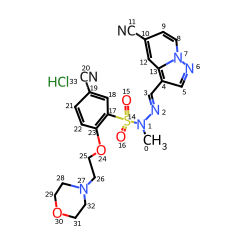 CN(N=Cc1cnn2ccc(C#N)cc12)S(=O)(=O)c1cc(C#N)ccc1OCCN1CCOCC1.Cl